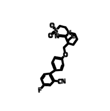 N#Cc1cc(F)ccc1-c1ccc(OCC23CCC(CC2)N2CCS(=O)(=O)N=C23)cc1